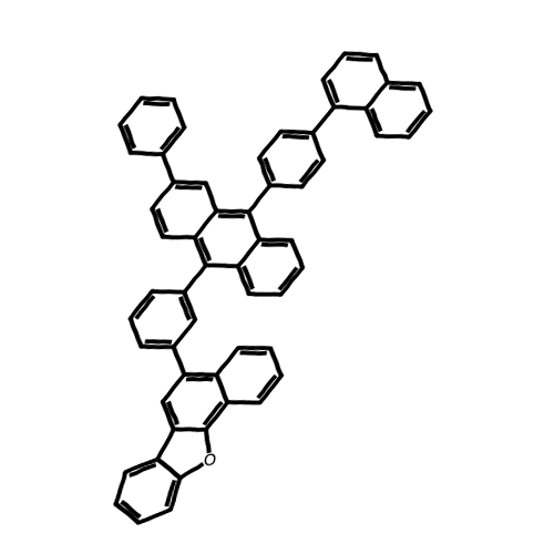 c1ccc(-c2ccc3c(-c4cccc(-c5cc6c7ccccc7oc6c6ccccc56)c4)c4ccccc4c(-c4ccc(-c5cccc6ccccc56)cc4)c3c2)cc1